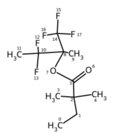 CCC(C)(C)C(=O)OC(C)(C(C)(F)F)C(F)(F)F